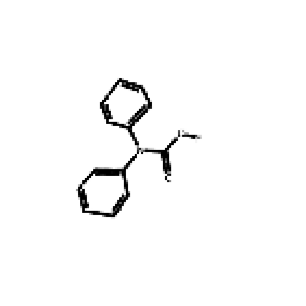 O=C(OF)N(c1ccccc1)c1ccccc1